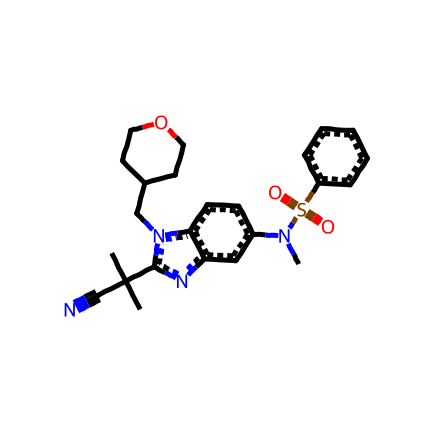 CN(c1ccc2c(c1)nc(C(C)(C)C#N)n2CC1CCOCC1)S(=O)(=O)c1ccccc1